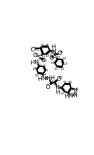 O=C(NNc1ccc(NS(=O)(=O)c2cc(NS(=O)(=O)c3ccccc3)ccc2Cl)cc1)C(=O)Nc1ccc2nn[nH]c2c1